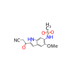 COc1cc2cc(C(=O)CC#N)[nH]c2cc1NS(C)(=O)=O